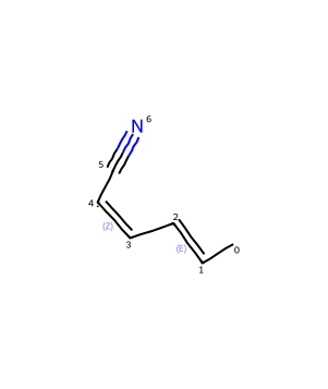 C/C=C/C=[C]\C#N